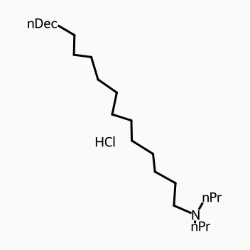 CCCCCCCCCCCCCCCCCCCCCCN(CCC)CCC.Cl